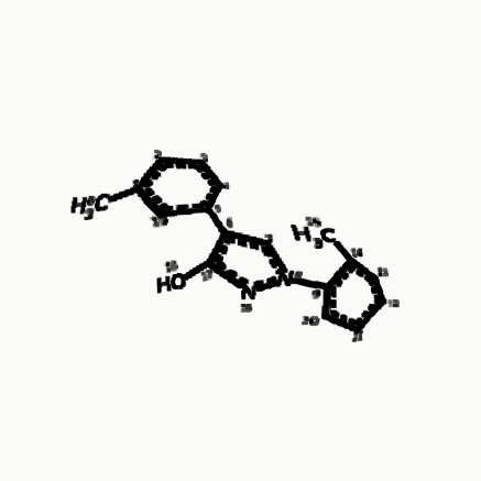 Cc1cccc(-c2cn(-c3ccccc3C)nc2O)c1